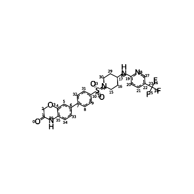 O=C1COc2cc(-c3ccc(S(=O)(=O)N4CCC(Nc5ccc(C(F)(F)F)cn5)CC4)cc3)ccc2N1